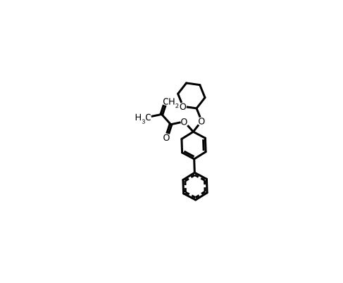 C=C(C)C(=O)OC1(OC2CCCCO2)C=CC(c2ccccc2)=CC1